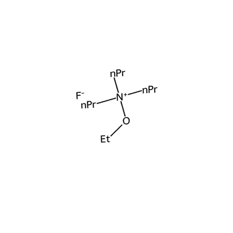 CCC[N+](CCC)(CCC)OCC.[F-]